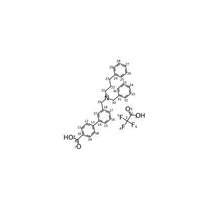 O=C(O)C(F)(F)F.O=C(O)c1ccc(-c2cccc(CN(CCCc3ccccc3)Cc3ccccc3)c2)cc1